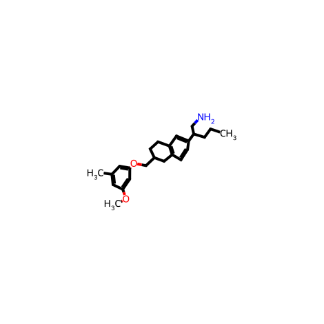 CCCC(CN)c1ccc2c(c1)CCC(COc1cc(C)cc(OC)c1)C2